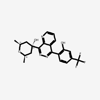 C[C@@H]1C[C@](O)(c2nnc(-c3ccc(C(F)(F)F)cc3O)c3cccnc23)C[C@H](C)O1